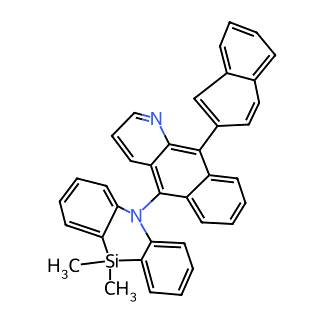 C[Si]1(C)c2ccccc2N(c2c3ccccc3c(-c3ccc4ccccc4c3)c3ncccc23)c2ccccc21